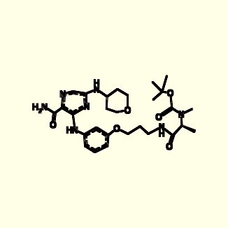 C[C@@H](C(=O)NCCCOc1cccc(Nc2nc(NC3CCOCC3)cnc2C(N)=O)c1)N(C)C(=O)OC(C)(C)C